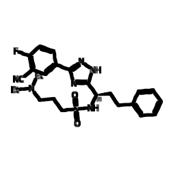 CCN(CC)CCCS(=O)(=O)N[C@H](CCc1ccccc1)c1nc(-c2ccc(F)c(C#N)c2)n[nH]1